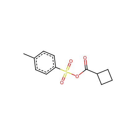 Cc1ccc(S(=O)(=O)OC(=O)C2CCC2)cc1